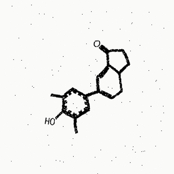 Cc1cc(C2=CCC3CCC(=O)C3=C2)cc(C)c1O